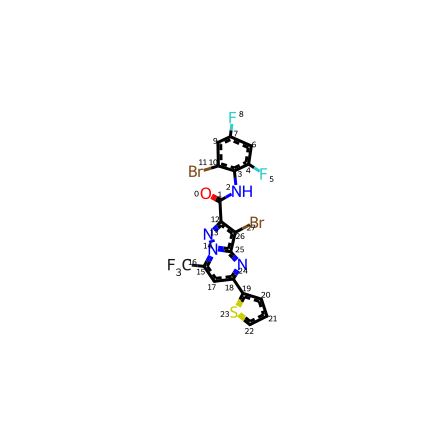 O=C(Nc1c(F)cc(F)cc1Br)c1nn2c(C(F)(F)F)cc(-c3cccs3)nc2c1Br